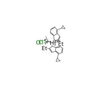 CCC1=Cc2c(C3CC3)cccc2[CH]1[Hf+2]([CH]1C(CC)=Cc2c(C3CC3)cccc21)=[Si](C)C.[Cl-].[Cl-]